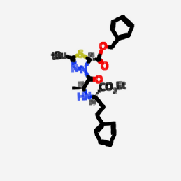 CCOC(=O)[C@H](CCc1ccccc1)N[C@@H](C)C(=O)N1N=C(C(C)(C)C)S[C@@H]1C(=O)OCc1ccccc1